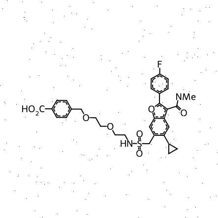 CNC(=O)c1c(-c2ccc(F)cc2)oc2cc(CS(=O)(=O)NCCOCCOCc3ccc(C(=O)O)cc3)c(C3CC3)cc12